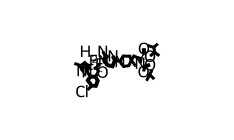 Cc1ccn(-c2cc(Cl)ccc2[C@@H](Oc2cc(N3CCC4(CC3)C[C@@H](C(=O)OC(C)C(C)C)N(C(=O)OC(C)(C)C)C4)nc(N)n2)C(F)(F)F)n1